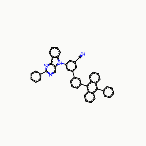 N#Cc1cc(-c2cccc(-c3c4ccccc4c(-c4ccccc4)c4ccccc34)c2)cc(-n2c3ccccc3c3nc(-c4ccccc4)ncc32)c1